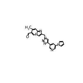 Cc1cc2nc(Cn3cc(-c4cncc(-n5cccc5)c4)nn3)cn2cc1C=O